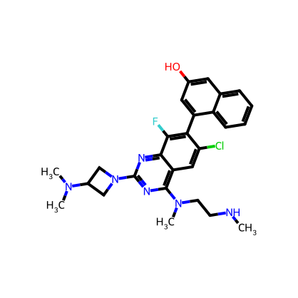 CNCCN(C)c1nc(N2CC(N(C)C)C2)nc2c(F)c(-c3cc(O)cc4ccccc34)c(Cl)cc12